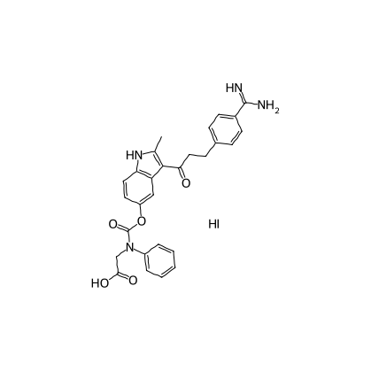 Cc1[nH]c2ccc(OC(=O)N(CC(=O)O)c3ccccc3)cc2c1C(=O)CCc1ccc(C(=N)N)cc1.I